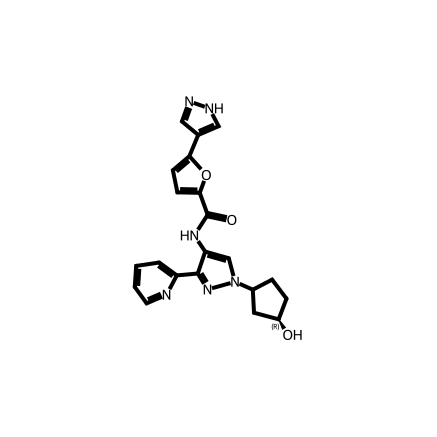 O=C(Nc1cn(C2CC[C@@H](O)C2)nc1-c1ccccn1)c1ccc(-c2cn[nH]c2)o1